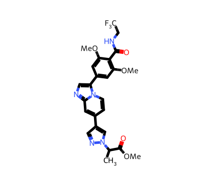 COC(=O)C(C)n1cc(-c2ccn3c(-c4cc(OC)c(C(=O)NCC(F)(F)F)c(OC)c4)cnc3c2)cn1